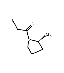 O=C(CI)N1CCC[C@@H]1C(F)(F)F